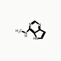 CNc1ncnc2cc[nH]c12